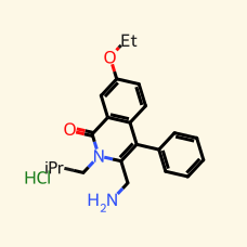 CCOc1ccc2c(-c3ccccc3)c(CN)n(CC(C)C)c(=O)c2c1.Cl